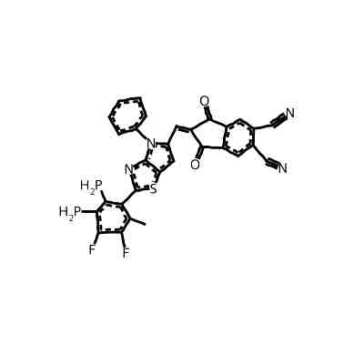 Cc1c(F)c(F)c(P)c(P)c1-c1nc2c(cc(C=C3C(=O)c4cc(C#N)c(C#N)cc4C3=O)n2-c2ccccc2)s1